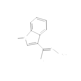 CCn1cc(C(C)=NOC)c2ccccc21